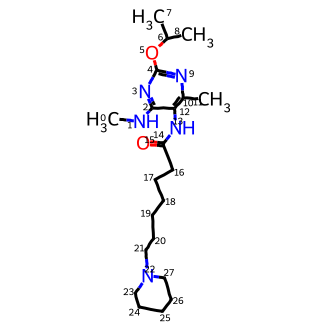 CNc1nc(OC(C)C)nc(C)c1NC(=O)CCCCCCN1CCCCC1